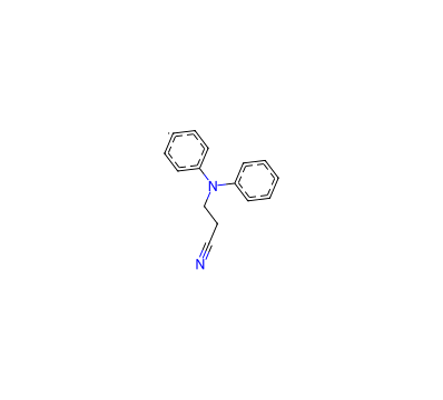 N#CCCN(c1cc[c]cc1)c1ccccc1